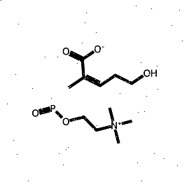 CC(=CCCO)C(=O)[O-].C[N+](C)(C)CCOP=O